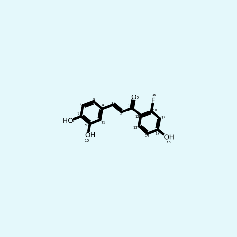 O=C(/C=C/c1ccc(O)c(O)c1)c1ccc(O)cc1F